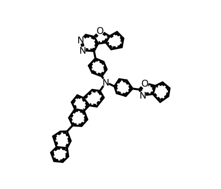 c1ccc2cc(-c3ccc4c(ccc5cc(N(c6ccc(-c7nc8ccccc8o7)cc6)c6ccc(-c7nncc8oc9ccccc9c78)cc6)ccc54)c3)ccc2c1